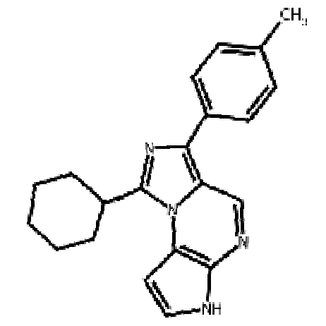 Cc1ccc(-c2nc(C3CCCCC3)n3c2cnc2[nH]ccc23)cc1